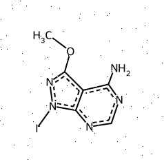 COc1nn(I)c2ncnc(N)c12